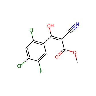 COC(=O)C(C#N)=C(O)c1cc(F)c(Cl)cc1Cl